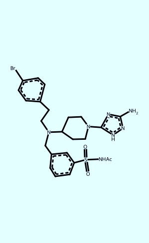 CC(=O)NS(=O)(=O)c1cccc(CN(CCc2ccc(Br)cc2)C2CCN(c3nc(N)n[nH]3)CC2)c1